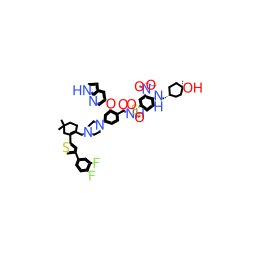 CC1(C)CCC(CN2CCN(c3ccc(C(=O)NS(=O)(=O)c4ccc(NC[C@H]5CC[C@](C)(O)CC5)c([N+](=O)[O-])c4)c(Oc4cnc5[nH]ccc5c4)c3)CC2)=C(c2cc(-c3ccc(F)c(F)c3)cs2)C1